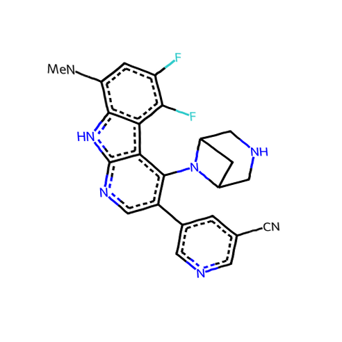 CNc1cc(F)c(F)c2c1[nH]c1ncc(-c3cncc(C#N)c3)c(N3C4CNCC3C4)c12